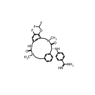 CN1CCc2cccc(c2)[C@@H](Nc2ccc(C(=N)N)cc2)C(=O)N(C)Cc2cc(cc(F)c2OC(F)F)NC1=O